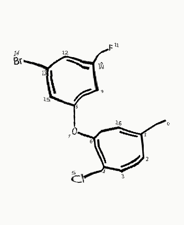 Cc1ccc(Cl)c(Oc2cc(F)cc(Br)c2)c1